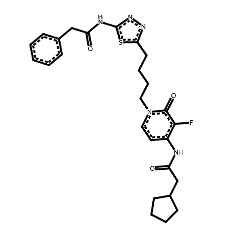 O=C(Cc1ccccc1)Nc1nnc(CCCCn2ccc(NC(=O)CC3CCCC3)c(F)c2=O)s1